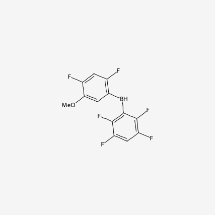 COc1cc(Bc2c(F)c(F)cc(F)c2F)c(F)cc1F